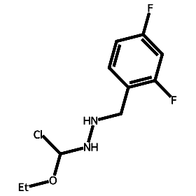 CCOC(Cl)NNCc1ccc(F)cc1F